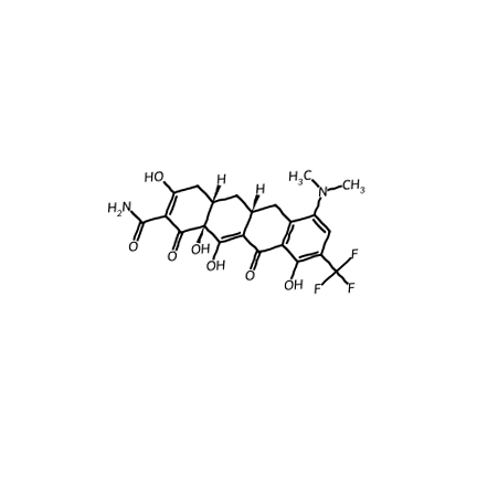 CN(C)c1cc(C(F)(F)F)c(O)c2c1C[C@H]1C[C@H]3CC(O)=C(C(N)=O)C(=O)[C@@]3(O)C(O)=C1C2=O